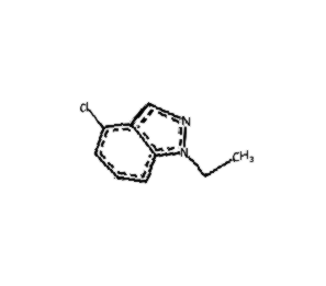 CCn1ncc2c(Cl)c[c]cc21